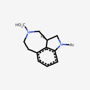 CC(=O)N1C[C@@H]2CN(C(=O)O)CCc3cccc1c32